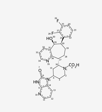 O=C(O)N1CCC(n2c(=O)[nH]c3ncccc32)CC1[C@H]1CC[C@H](c2cccc(F)c2F)[C@H](O)c2cccnc21